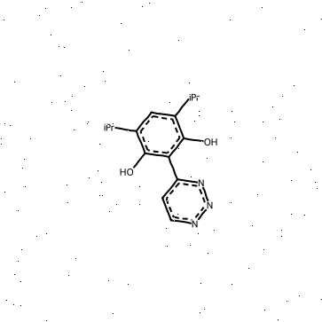 CC(C)c1cc(C(C)C)c(O)c(-c2ccnnn2)c1O